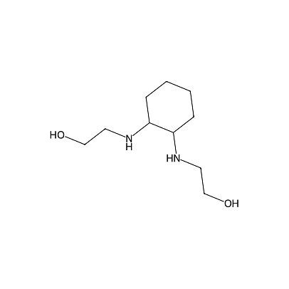 OCCNC1CCCCC1NCCO